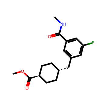 CNC(=O)c1cc(F)cc(C[C@H]2CC[C@H](C(=O)OC)CC2)c1